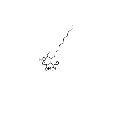 CCCCCCCCCCC(C(=O)O)C(C(=O)O)C(=O)O